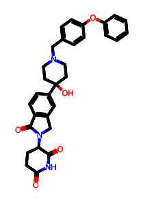 O=C1CCC(N2Cc3cc(C4(O)CCN(Cc5ccc(Oc6ccccc6)cc5)CC4)ccc3C2=O)C(=O)N1